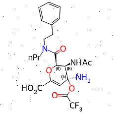 CCCN(CCc1ccccc1)C(=O)[C@@H]1OC(C(=O)O)=C[C@](N)(OC(=O)C(F)(F)F)[C@@H]1NC(C)=O